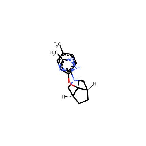 Cc1cc(O[C@@H]2[C@@H]3CC[C@H]2CN(c2ccc(C(F)(F)F)cn2)C3)[nH]n1